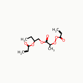 C=CC(=O)OOC(C)C(=O)OCC(CC)OC(=O)C=C